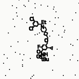 CCC(c1cc(Cl)cc(Cl)c1)N1CCC2(CC1)CC(COCc1cc(F)c(C(=O)N[S+]([O-])C(C)(C)C)cc1C1CC1)C2